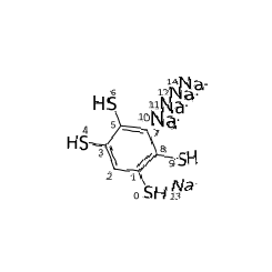 Sc1cc(S)c(S)cc1S.[Na].[Na].[Na].[Na].[Na]